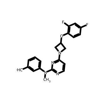 [CH]c1cccc(N(C)c2nccc(N3CC(Oc4ccc(F)cc4F)C3)n2)c1